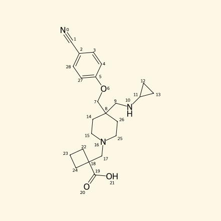 N#Cc1ccc(OCC2(CNC3CC3)CCN(CC3(C(=O)O)CCC3)CC2)cc1